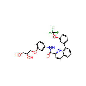 O=C(Nc1cccc(OCC(O)CO)c1)c1ccc2cccc(-c3cccc(OC(F)(F)F)c3)c2n1